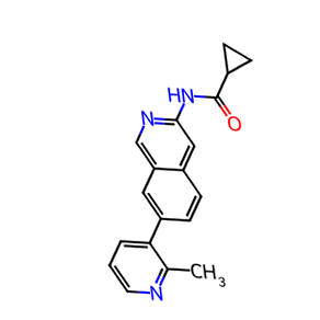 Cc1ncccc1-c1ccc2cc(NC(=O)C3CC3)ncc2c1